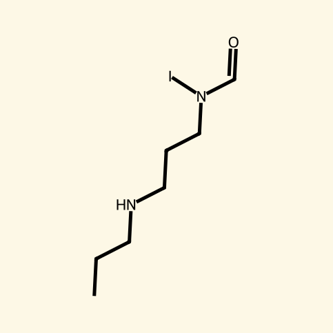 CCCNCCCN(I)C=O